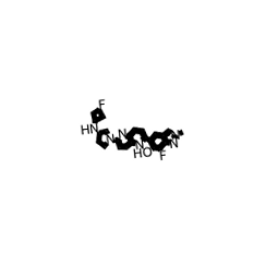 Cn1cc2cc(-c3ccc4nc(N5CCC(NC6CC(F)C6)C5)ccc4n3)c(O)c(F)c2n1